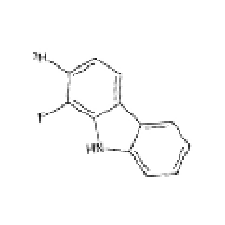 [2H]c1ccc2c([nH]c3ccccc32)c1F